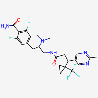 Cc1ncc(C(CC(=O)NCC(Cc2cc(F)c(C(N)=O)c(F)c2)N(C)C)C2(C(F)(F)F)CC2)cn1